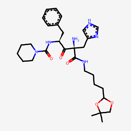 CC1(C)COC(CCCCNC(=O)[C@@](N)(Cc2c[nH]cn2)C(=O)[C@H](Cc2ccccc2)NC(=O)N2CCCCC2)O1